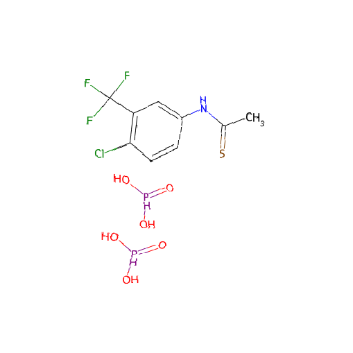 CC(=S)Nc1ccc(Cl)c(C(F)(F)F)c1.O=[PH](O)O.O=[PH](O)O